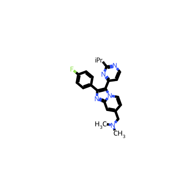 CC(C)c1nccc(-c2c(-c3ccc(F)cc3)nc3cc(CN(C)C)ccn23)n1